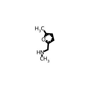 CNCc1ccc(C)o1